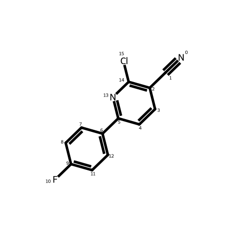 N#Cc1ccc(-c2ccc(F)cc2)nc1Cl